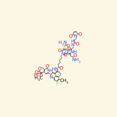 CC[C@@]1(O)C(=O)OCc2c1cc1n(c2=O)Cc2c-1nc1cc(F)c(C)c3c1c2[C@@H](NC(=O)CCCCCNC(=O)[C@H](CC(N)=O)NC(=O)[C@H](CC(N)=O)NC(=O)CNC(=O)CCN1C(=O)C=CC1=O)CC3